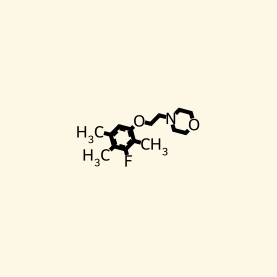 Cc1cc(OCCN2CCOCC2)c(C)c(F)c1C